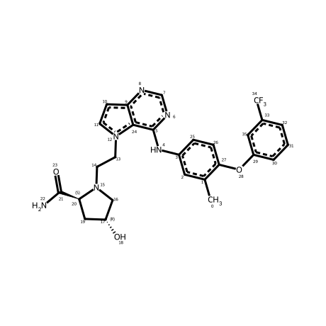 Cc1cc(Nc2ncnc3ccn(CCN4C[C@H](O)C[C@H]4C(N)=O)c23)ccc1Oc1cccc(C(F)(F)F)c1